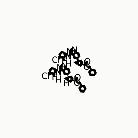 O=C(OCc1ccccc1)N1CC2CC2(c2ccc3ncnc(Nc4cccc(Cl)c4F)c3c2)C1.O=C(OCc1ccccc1)N1C[C@H]2C[C@@]2(c2ccc3ncnc(Nc4cccc(Cl)c4F)c3c2)C1